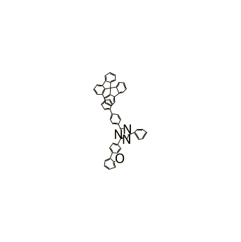 c1ccc(-c2nc(-c3ccc(-c4ccc(-c5cccc6c5C5(c7ccccc7-c7ccccc75)c5ccccc5-6)cc4)cc3)nc(-c3ccc4c(c3)oc3ccccc34)n2)cc1